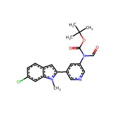 Cn1c(-c2cncc(N(C=O)C(=O)OC(C)(C)C)c2)cc2ccc(Cl)cc21